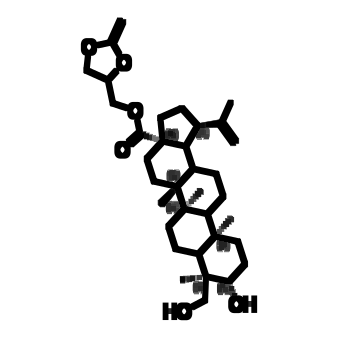 C=C1OCC(COC(=O)[C@]23CC[C@@H](C(=C)C)C2C2CCC4[C@@]5(C)CC[C@H](O)[C@@](C)(CO)C5CC[C@@]4(C)[C@]2(C)CC3)O1